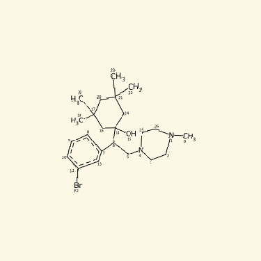 CN1CCN(CC(c2cccc(Br)c2)C2(O)CC(C)(C)CC(C)(C)C2)CC1